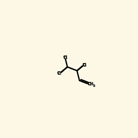 C=CC(Cl)C(Cl)Cl